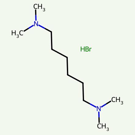 Br.CN(C)CCCCCCN(C)C